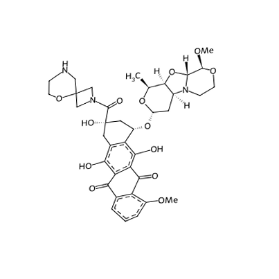 COc1cccc2c1C(=O)c1c(O)c3c(c(O)c1C2=O)C[C@@](O)(C(=O)N1CC2(CNCCO2)C1)C[C@@H]3O[C@H]1C[C@H]2[C@H](O[C@@H]3[C@@H](OC)OCCN32)[C@H](C)O1